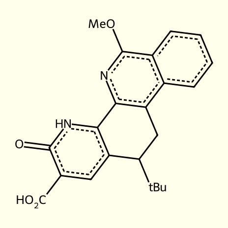 COc1nc2c(c3ccccc13)CC(C(C)(C)C)c1cc(C(=O)O)c(=O)[nH]c1-2